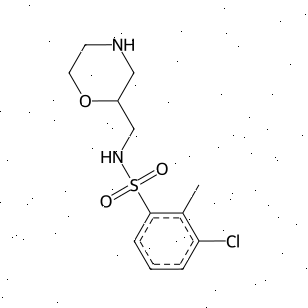 Cc1c(Cl)cccc1S(=O)(=O)NCC1CNCCO1